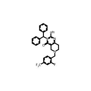 CCCc1nc2c(c(=O)n1C(c1ccccc1)c1ccccc1)CN(Cc1ccc(C(F)(F)F)cc1F)CC2